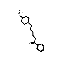 CO[C]1CCN(CCCCCC(=O)c2ccccc2)CC1